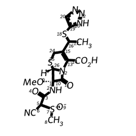 CO[C@@]1(NC(=O)C(C#N)[S+](C)[O-])C(=O)N2C(C(=O)O)=C(C(C)Sc3cnn[nH]3)CS[C@H]21